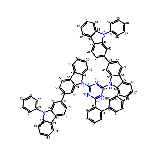 c1ccc(-c2ccccc2-c2nc(-n3c4ccccc4c4ccc(-c5ccc6c7ccccc7n(-c7ccccc7)c6c5)cc43)nc(-n3c4ccccc4c4ccc(-c5ccc6c7ccccc7n(-c7ccccc7)c6c5)cc43)n2)cc1